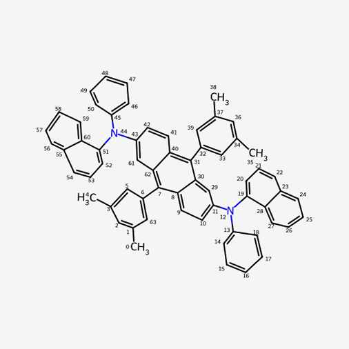 Cc1cc(C)cc(-c2c3ccc(N(c4ccccc4)c4cccc5ccccc45)cc3c(-c3cc(C)cc(C)c3)c3ccc(N(c4ccccc4)c4cccc5ccccc45)cc23)c1